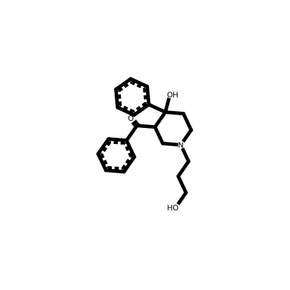 O=C(c1ccccc1)C1CN(CCCO)CCC1(O)c1ccccc1